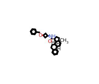 C[C@@]12CC[C@H](C(=O)NC3CC(OCc4ccccc4)C3)[C@H]1[C@@H]1CCc3ccccc3[C@H]1CC2